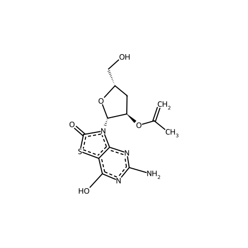 C=C(C)O[C@@H]1C[C@@H](CO)O[C@H]1n1c(=O)sc2c(O)nc(N)nc21